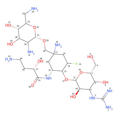 N=C(N)NC1C(O)[C@@H](CO)OC(OC2C(F)CC(N)(CO[C@H]3OC(CN)[C@@H](O)C(O)C3N)C[C@H]2NC(=O)[C@@H](O)CCN)[C@@H]1O